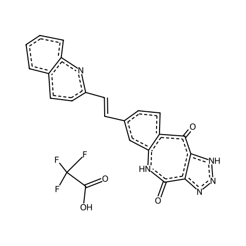 O=C(O)C(F)(F)F.O=c1[nH]c2cc(/C=C/c3ccc4ccccc4n3)ccc2c(=O)c2[nH]nnc12